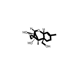 CC1=C[C@H]2O[C@@H]3[C@H](O)[C@@H](O)[C@](C)([C@@]2(CO)CC1)[C@@]31CO1